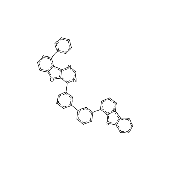 c1ccc(-c2cccc3oc4c(-c5cccc(-c6cccc(-c7cccc8c7sc7ccccc78)c6)c5)ncnc4c23)cc1